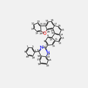 c1ccc(-c2nc(-c3ccc4c(ccc5ccc6ccc7c8ccccc8oc7c6c54)c3)nc3ccccc23)cc1